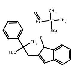 CC(C)(C)[N+](C)(C)[SiH]=O.CC(C)(CC1=Cc2ccccc2[CH]1[Ti])c1ccccc1